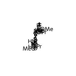 C=C1CCN(C(=O)[C@@H](NC(=O)OC)C(C)C)[C@@H]1c1nc2ccc3cc(-c4ccc5c(ccc6nc([C@@H]7C[C@H](COC(F)(F)[C@@H]8C=CC8)CN7C(=O)[C@@H](NC(=O)OC)C(C)C)[nH]c65)c4)ccc3c2[nH]1